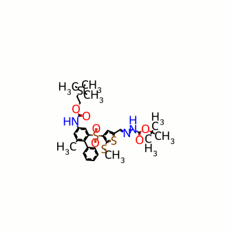 CSc1sc(C=NNC(=O)OC(C)(C)C)cc1S(=O)(=O)c1cc(NC(=O)OCC[Si](C)(C)C)cc(C)c1-c1ccccc1